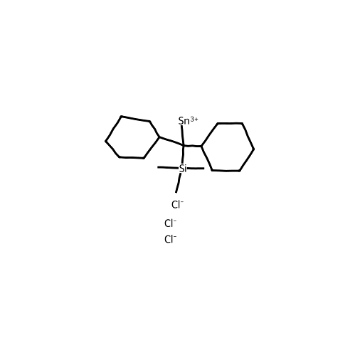 C[Si](C)(C)[C]([Sn+3])(C1CCCCC1)C1CCCCC1.[Cl-].[Cl-].[Cl-]